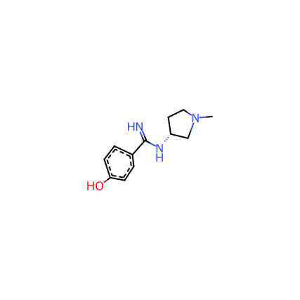 CN1CC[C@@H](NC(=N)c2ccc(O)cc2)C1